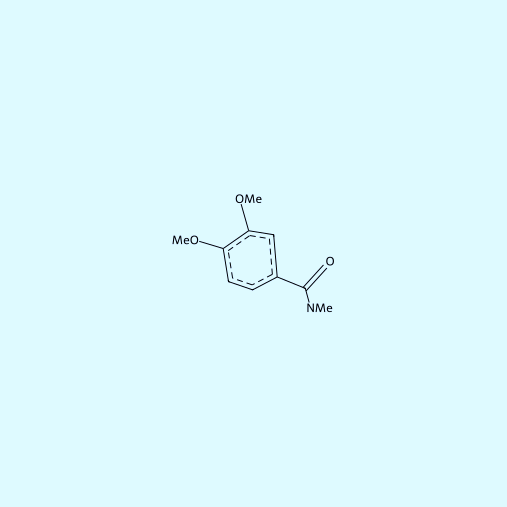 CNC(=O)c1ccc(OC)c(OC)c1